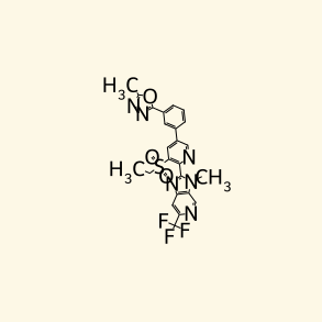 CCS(=O)(=O)c1cc(-c2cccc(-c3nnc(C)o3)c2)cnc1-c1nc2cc(C(F)(F)F)ncc2n1C